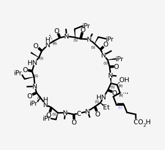 CC[C@@H]1NC(=O)[C@H]([C@H](O)[C@H](C)C/C=C/CCC(=O)O)N(C)C(=O)[C@H](C(C)C)N(C)C(=O)[C@H](CC(C)C)N(C)C(=O)[C@H](CC(C)C)N(C)C(=O)[C@@H](C)NC(=O)[C@H](C)NC(=O)[C@H](CC(C)C)N(C)C(=O)[C@H](C(C)C)NC(=O)[C@H](CC(C)C)N(C)C(=O)CN(C)C1=O